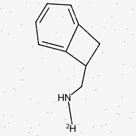 [2H]NCC1Cc2ccccc21